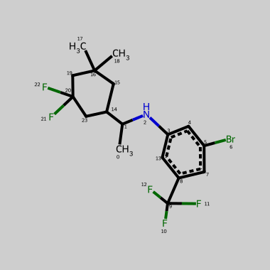 CC(Nc1cc(Br)cc(C(F)(F)F)c1)C1CC(C)(C)CC(F)(F)C1